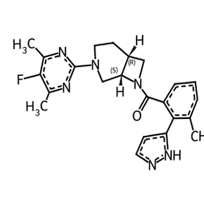 Cc1cccc(C(=O)N2C[C@H]3CCN(c4nc(C)c(F)c(C)n4)C[C@H]32)c1-c1ccn[nH]1